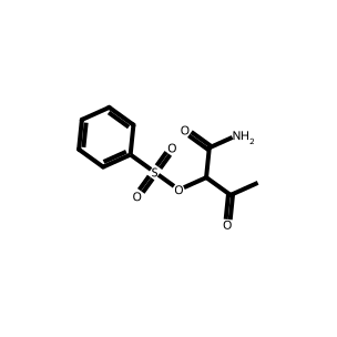 CC(=O)C(OS(=O)(=O)c1ccccc1)C(N)=O